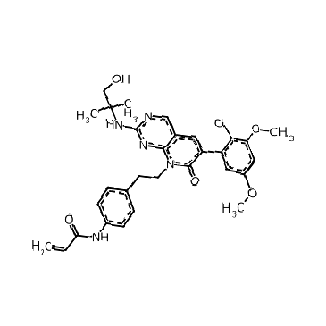 C=CC(=O)Nc1ccc(CCn2c(=O)c(-c3cc(OC)cc(OC)c3Cl)cc3cnc(NC(C)(C)CO)nc32)cc1